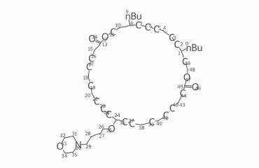 CCCCC1CCCCCCC(CCCC)CCOC(=O)CCCCCCCCCC(OCCCCN2CCOCC2)CCCCCCCCCC(=O)OCC1